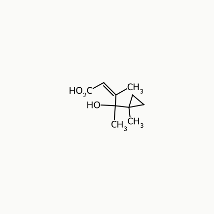 C/C(=C/C(=O)O)C(C)(O)C1(C)CC1